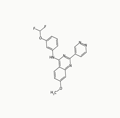 COc1ccc2c(Nc3cccc(OC(F)F)c3)nc(-c3ccnnc3)nc2c1